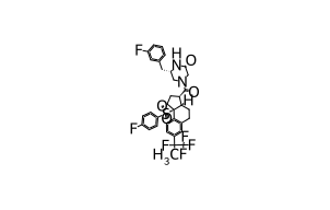 CC(F)(c1ccc2c(c1)CC[C@H]1[C@H](C(=O)N3CC(=O)N[C@@H](Cc4cccc(F)c4)C3)CC[C@@]21S(=O)(=O)c1ccc(F)cc1)C(F)(F)F